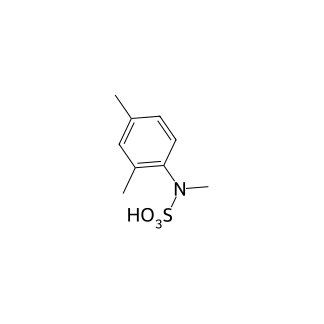 Cc1ccc(N(C)S(=O)(=O)O)c(C)c1